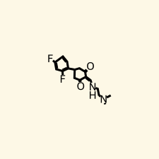 CN(C)CCNC=C1C(=O)CC(c2ccc(F)cc2F)CC1=O